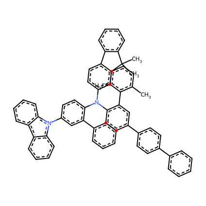 Cc1cccc(C)c1-c1cc(-c2ccc(-c3ccccc3)cc2)ccc1N(c1ccc2c(c1)C(C)(C)c1ccccc1-2)c1ccc(-n2c3ccccc3c3ccccc32)cc1-c1ccccc1